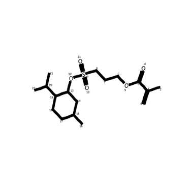 C=C(C)C(=O)OCCCS(=O)(=O)OC1CC(C)CCC1C(C)C